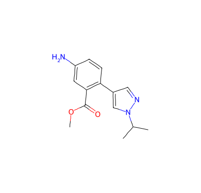 COC(=O)c1cc(N)ccc1-c1cnn(C(C)C)c1